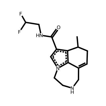 CC1CC=C2CNCCn3cc(C(=O)NCC(F)F)c1c32